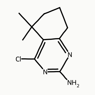 CC1(C)CCCc2nc(N)nc(Cl)c21